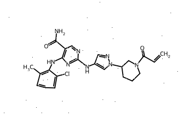 C=CC(=O)N1CCCC(n2cc(Nc3ncc(C(N)=O)c(Nc4c(C)cccc4Cl)n3)cn2)C1